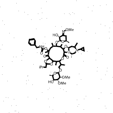 CON=C1C[C@@H](C)O[C@@H](OC2C(C)CC(C)(OC(=O)NCc3ccccc3)C(=O)C(C)C(OC(=O)CC(C)C)C(C)C(C(C)CO[C@@H]3O[C@H](C)[C@@H](O)[C@@H](OC)[C@H]3OC)OC(=O)C(C)C(O[C@H]3CC(C)N(C4CC4)C[C@H](C)O3)C2C)[C@@H]1O